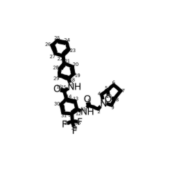 O=C(CN1CC2CCC(C1)O2)Nc1cc(C(=O)Nc2ccc(-c3ccccc3)cc2)ccc1C(F)(F)F